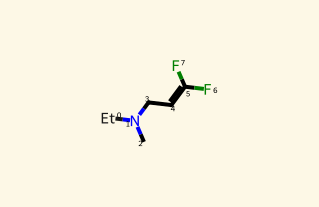 CCN(C)CC=C(F)F